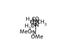 COCCN(CC#Cc1nc2c(c(=O)n(C)c(=O)n2C)n1C)CCOC